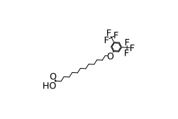 O=C(O)CCCCCCCCCCCCOc1cc(C(F)(F)F)cc(C(F)(F)F)c1